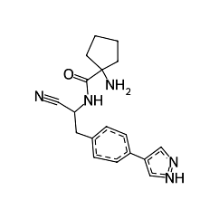 N#CC(Cc1ccc(-c2cn[nH]c2)cc1)NC(=O)C1(N)CCCC1